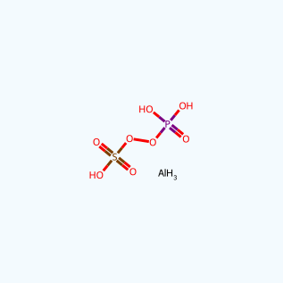 O=P(O)(O)OOS(=O)(=O)O.[AlH3]